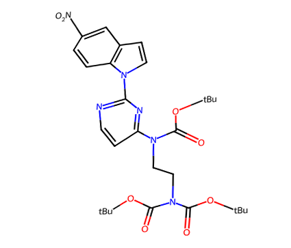 CC(C)(C)OC(=O)N(CCN(C(=O)OC(C)(C)C)c1ccnc(-n2ccc3cc([N+](=O)[O-])ccc32)n1)C(=O)OC(C)(C)C